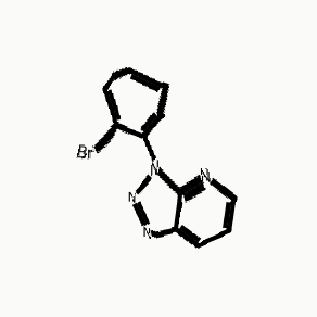 Brc1ccccc1-n1nnc2cccnc21